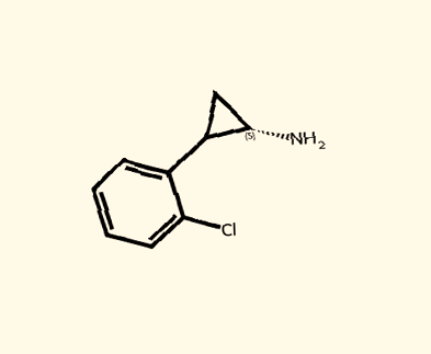 N[C@H]1CC1c1ccccc1Cl